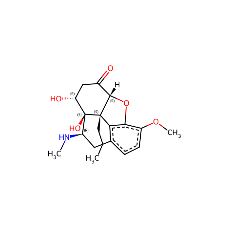 CCC[C@]12c3c4ccc(OC)c3O[C@H]1C(=O)C[C@@H](O)[C@@]2(O)[C@H](NC)C4